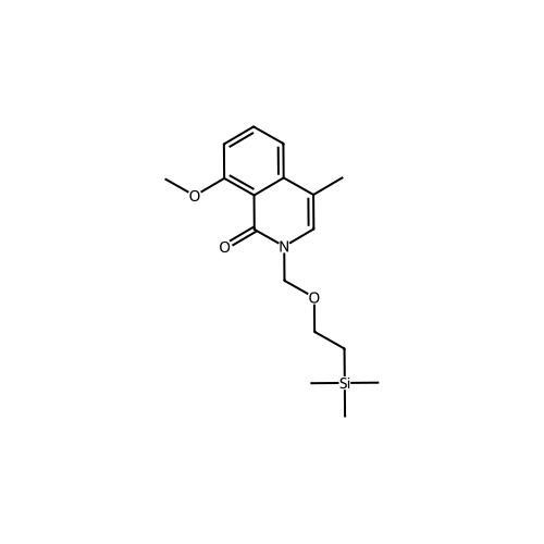 COc1cccc2c(C)cn(COCC[Si](C)(C)C)c(=O)c12